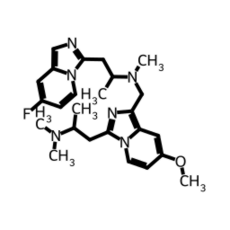 COc1ccn2c(CC(C)N(C)C)nc(CN(C)C(C)Cc3ncc4cc(F)ccn34)c2c1